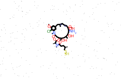 COc1cc2cc(c1Cl)N(C)C(=O)CC(OC(=O)[C@H](C)N(C)C(=O)CC[C@@H](C)CSS)C(C)(O)CC(C)C(O)CC(N)(O)C(OC)/C=C/C=C(\C)C2